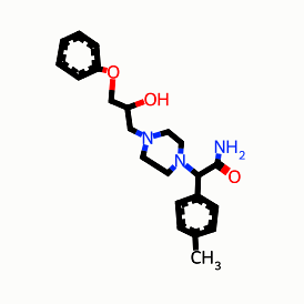 Cc1ccc(C(C(N)=O)N2CCN(CC(O)COc3ccccc3)CC2)cc1